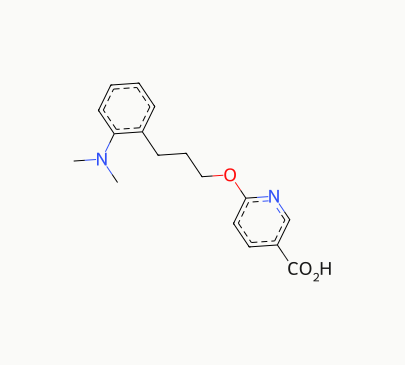 CN(C)c1ccccc1CCCOc1ccc(C(=O)O)cn1